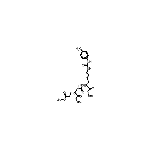 Cc1ccc(NC(=O)NCCCC[C@H](NC(=O)N[C@@H](CCC(=O)OC(C)(C)C)C(=O)OC(C)(C)C)C(=O)OC(C)(C)C)cc1